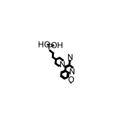 COc1cccc2c(N3CCC(CCCP(O)O)CC3)c(C#N)cnc12